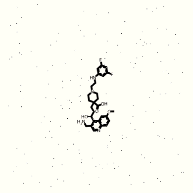 COc1ccc2ncc(CN)c([C@@H](O)CCC3(C(=O)O)CCN(CCNc4cc(F)cc(F)c4)CC3)c2c1